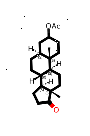 CC(=O)OC1CC[C@@]2(C)[C@@H](CC[C@@H]3[C@@H]2CC[C@]2(C)C(=O)CC[C@@H]32)C1